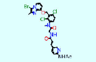 CC(=O)Nc1ccc(C=CC(=O)NCC(=O)N(C)c2ccc(Cl)c(COc3cccn4c(Br)c(C)nc34)c2Cl)cn1